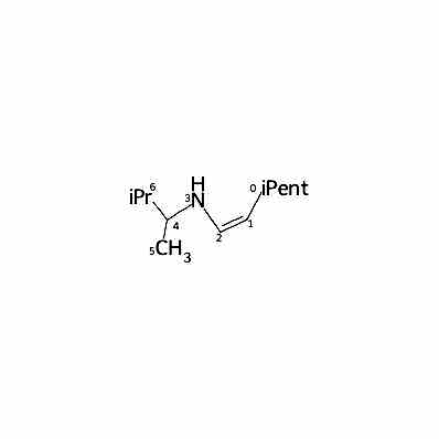 CCCC(C)/C=C\NC(C)C(C)C